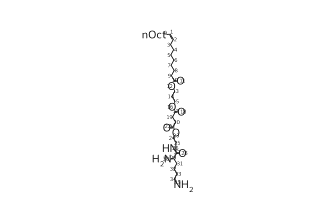 CCCCCCCC/C=C\CCCCCCCC(=O)OCCCOC(=O)CCC(=O)OCCNC(=O)C(N)CCCCN